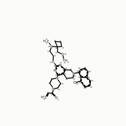 C=CC(=O)N1CCN(c2nc(OCCN(C)C3(COC)CCC3)nc3c2CCN(c2cccc4cccc(Cl)c24)C3)CC1